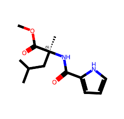 COC(=O)[C@](C)(CC(C)C)NC(=O)c1ccc[nH]1